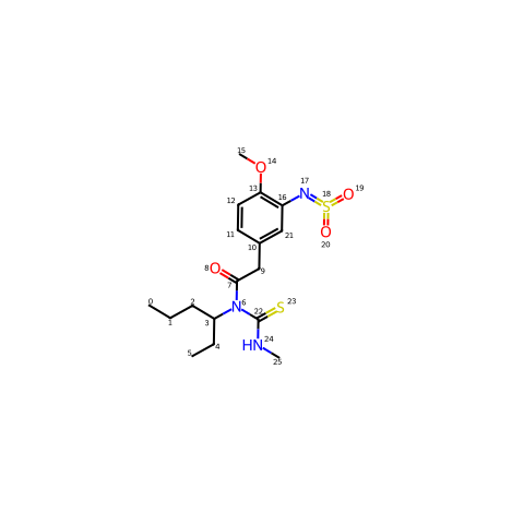 CCCC(CC)N(C(=O)Cc1ccc(OC)c(N=S(=O)=O)c1)C(=S)NC